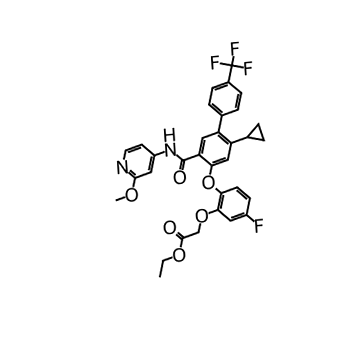 CCOC(=O)COc1cc(F)ccc1Oc1cc(C2CC2)c(-c2ccc(C(F)(F)F)cc2)cc1C(=O)Nc1ccnc(OC)c1